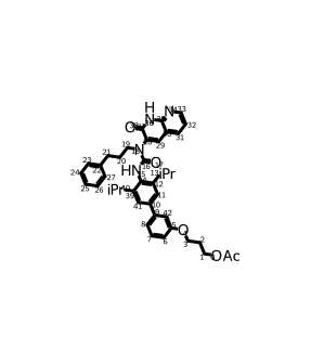 CC(=O)OCCCOc1cccc(-c2cc(C(C)C)c(NC(=O)N(CCCc3ccccc3)c3cc4cccnc4[nH]c3=O)c(C(C)C)c2)c1